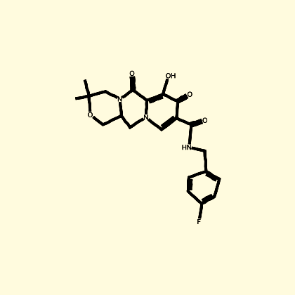 CC1(C)CN2C(=O)c3c(O)c(=O)c(C(=O)NCc4ccc(F)cc4)cn3CC2CO1